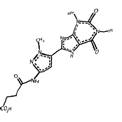 CCCn1c(=O)c2[nH]c(-c3cc(NC(=O)CCC(=O)O)nn3C)nc2n(CCC)c1=O